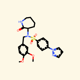 COc1ccc(CN(C2CCCCNC2=O)S(=O)(=O)c2ccc(-n3cccn3)cc2)cc1OC